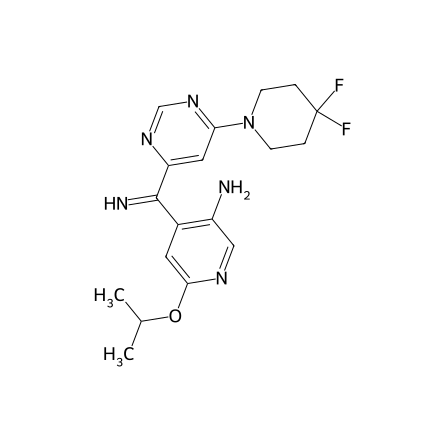 CC(C)Oc1cc(C(=N)c2cc(N3CCC(F)(F)CC3)ncn2)c(N)cn1